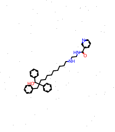 O=C(NCCNCCCCCCCCCC(Cc1ccccc1)(c1ccccc1)[C@@H](O)c1ccccc1)c1cccnc1